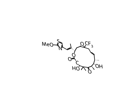 COc1nc(/C=C(\C)[C@@H]2CC3OC3(C(F)(F)F)C/C=C/[C@H](C)[C@H](O)[C@@H](C)C(=O)C(C)(C)[C@@H](O)CC(=O)O2)cs1